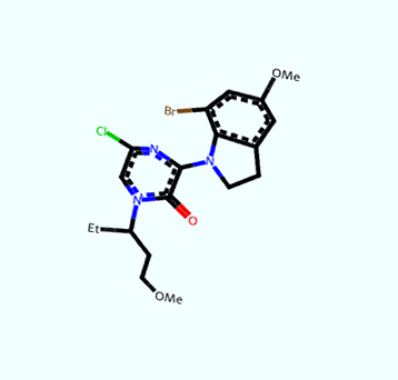 CCC(CCOC)n1cc(Cl)nc(N2CCc3cc(OC)cc(Br)c32)c1=O